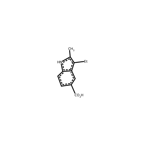 CCc1c(C)[nH]c2ccc(C(=O)O)cc12